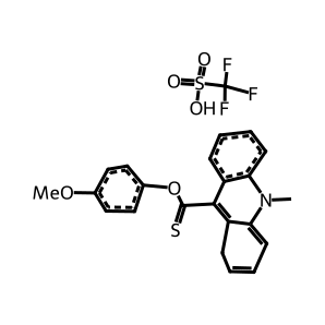 COc1ccc(OC(=S)C2=C3CC=CC=C3N(C)c3ccccc32)cc1.O=S(=O)(O)C(F)(F)F